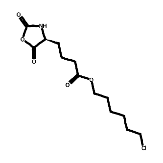 O=C(CCC[C@@H]1NC(=O)OC1=O)OCCCCCCCl